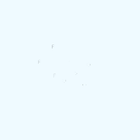 C=C(C(F)(F)F)[Si](OC)(OC)OC